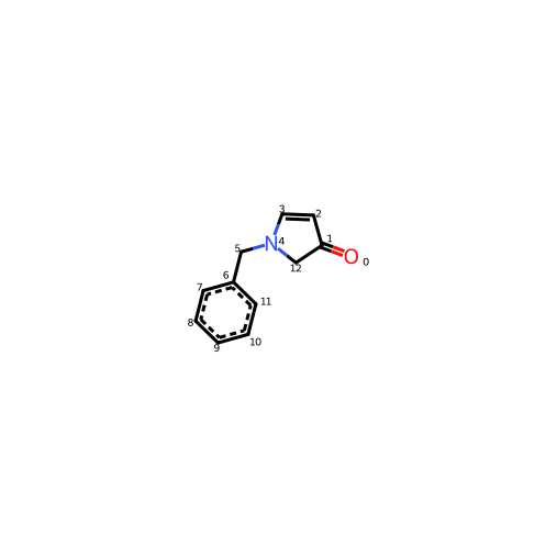 O=C1C=CN(Cc2ccccc2)C1